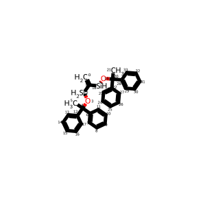 C=C([SiH2]OC(C)(c1ccccc1)c1ccccc1)[SiH2]OC(C)(c1ccccc1)c1ccccc1